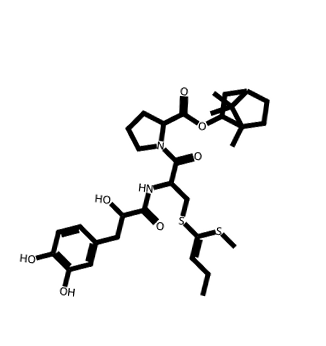 CC/C=C(\SC)SCC(NC(=O)C(O)Cc1ccc(O)c(O)c1)C(=O)N1CCCC1C(=O)OC1CC2CCC1(C)C2(C)C